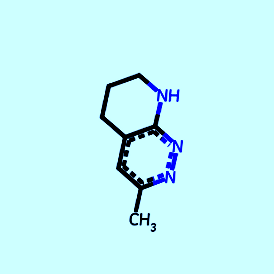 Cc1cc2c(nn1)NCCC2